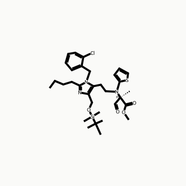 CCCCc1nc(CO[Si](C)(C)C(C)(C)C)c(CCN(c2cccs2)[C@](C)(C=O)C(=O)OC)n1Cc1ccccc1Cl